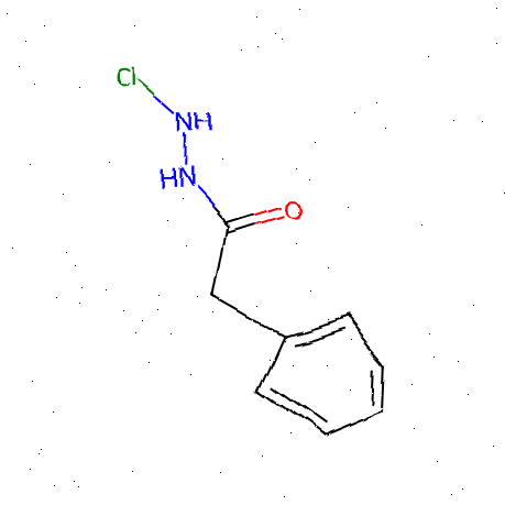 O=C(Cc1ccccc1)NNCl